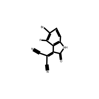 N#CC(C#N)=C1C(=O)Nc2ccc(Br)c(F)c21